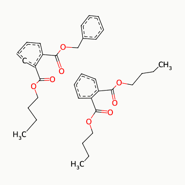 CCCCOC(=O)c1ccccc1C(=O)OCCCC.CCCCOC(=O)c1ccccc1C(=O)OCc1ccccc1